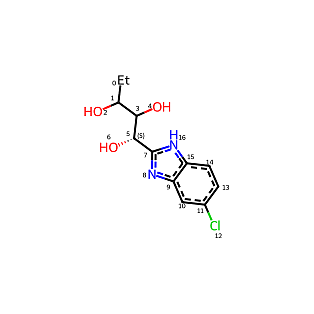 CCC(O)C(O)[C@@H](O)c1nc2cc(Cl)ccc2[nH]1